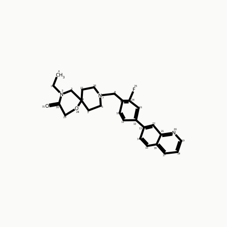 CCN1CC2(CCN(Cc3ccc(-c4ccc5cccnc5c4)cc3F)CC2)OCC1=O